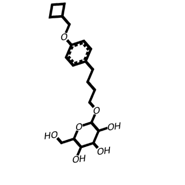 OCC1OC(OCCCCc2ccc(OCC3CCC3)cc2)C(O)C(O)C1O